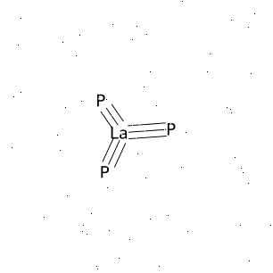 [P]#[La](#[P])#[P]